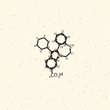 O=C(O)c1ccc2c(C3CCCCC3)c3n(c2c1)CCSc1ccccc1-3